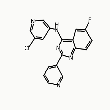 Fc1ccc2nc(-c3cccnc3)nc(Nc3cncc(Cl)c3)c2c1